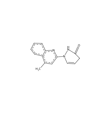 Cc1cc(N2C=CCC(=O)N2)nc2ccccc12